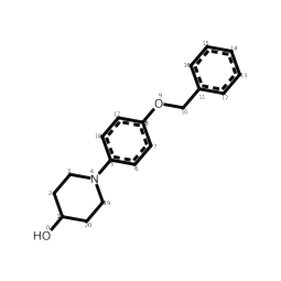 OC1CCN(c2ccc(OCc3ccccc3)cc2)CC1